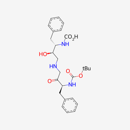 CC(C)(C)OC(=O)N[C@@H](Cc1ccccc1)C(=O)CNC[C@@H](O)[C@H](Cc1ccccc1)NC(=O)O